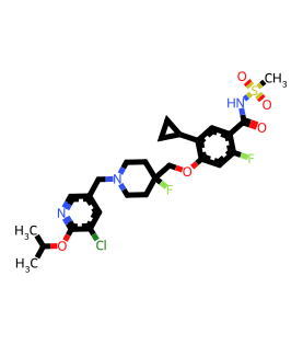 CC(C)Oc1ncc(CN2CCC(F)(COc3cc(F)c(C(=O)NS(C)(=O)=O)cc3C3CC3)CC2)cc1Cl